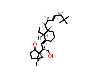 C[C@H](/C=C/[C@H](C)C(C)(C)C)[C@H]1CC[C@H]2/C(=C/[C@@H](CO)[C@]34C[C@H]3CCC4=O)CCC[C@]12C